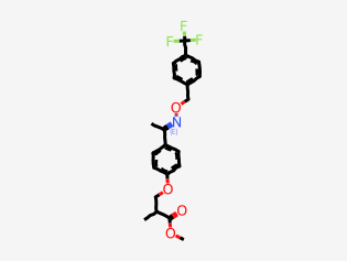 COC(=O)C(C)COc1ccc(/C(C)=N/OCc2ccc(C(F)(F)F)cc2)cc1